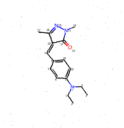 CCN(CC)c1ccc(/C=C2\C(=O)N(C)N=C2C)cc1